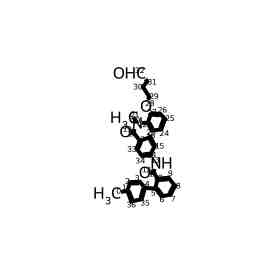 Cc1ccc(-c2ccccc2C(=O)Nc2ccc(C(=O)N(C)c3ccccc3OCCCC=O)cc2)cc1